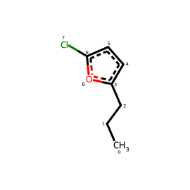 CCCc1ccc(Cl)o1